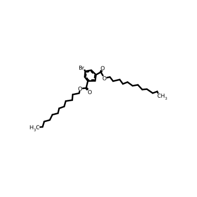 CCCCCCCCCCCCOC(=O)c1cc(Br)cc(C(=O)OCCCCCCCCCCCC)c1